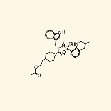 CC(=O)OCCC1CCN(C(=O)[C@H](Cc2c[nH]c3ccccc23)N(C)S(=O)(=O)c2cccc3c2NCC(C)C3)CC1